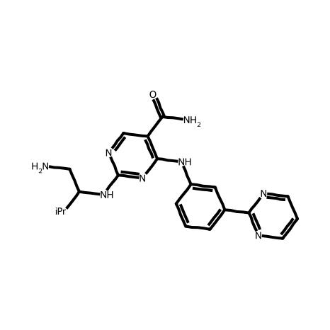 CC(C)C(CN)Nc1ncc(C(N)=O)c(Nc2cccc(-c3ncccn3)c2)n1